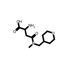 CN(CC1CCOCC1)C(=O)CC(N)C(=O)O